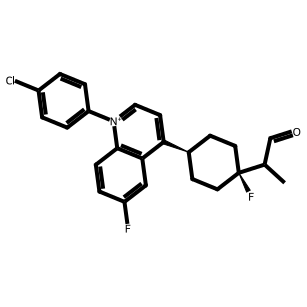 CC(C=O)[C@]1(F)CC[C@@H](c2cc[n+](-c3ccc(Cl)cc3)c3ccc(F)cc32)CC1